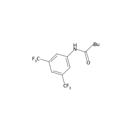 CCC(C)C(=O)Nc1cc(C(F)(F)F)cc(C(F)(F)F)c1